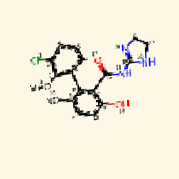 COc1c(Cl)cccc1-c1c(C#N)ccc(O)c1C(=O)NC1=NCCN1